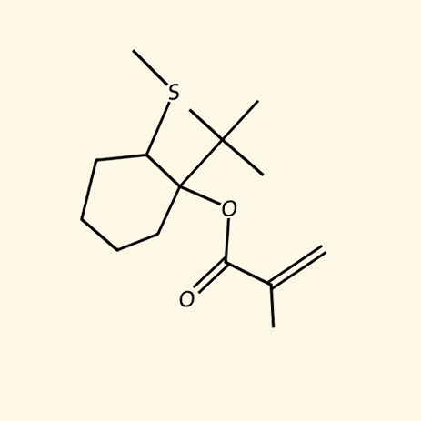 C=C(C)C(=O)OC1(C(C)(C)C)CCCCC1SC